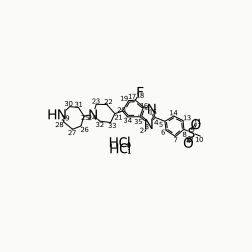 Cl.Cl.Cn1c(-c2ccc(S(C)(=O)=O)cc2)nc2c(F)cc(C3CCN(C4CCCNCC4)CC3)cc21